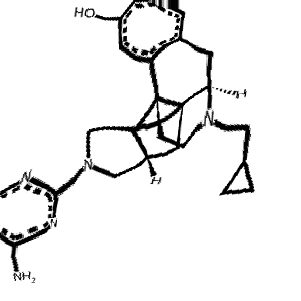 Nc1ccnc(N2C[C@H]3C[C@@]45CCC2C3[C@@]42CCN(CC3CC3)[C@@H]5Cc3ccc(O)cc32)n1